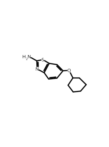 Nc1nc2ccc(OC3CCCCC3)cc2s1